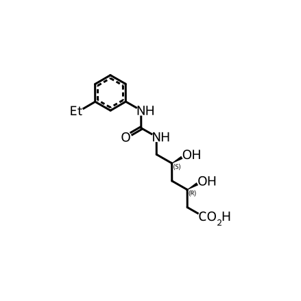 CCc1cccc(NC(=O)NC[C@@H](O)C[C@@H](O)CC(=O)O)c1